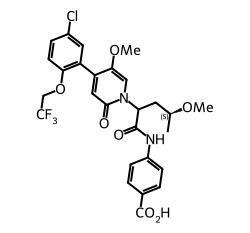 COc1cn(C(C[C@H](C)OC)C(=O)Nc2ccc(C(=O)O)cc2)c(=O)cc1-c1cc(Cl)ccc1OCC(F)(F)F